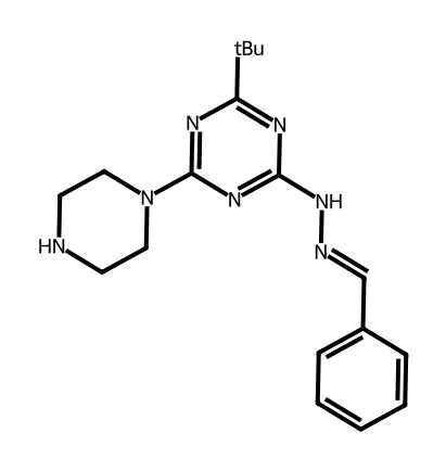 CC(C)(C)c1nc(NN=Cc2ccccc2)nc(N2CCNCC2)n1